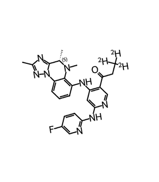 [2H]C([2H])([2H])CC(=O)c1cnc(Nc2ccc(F)cn2)cc1Nc1cccc2c1N(C)[C@@H](C)c1nc(C)nn1-2